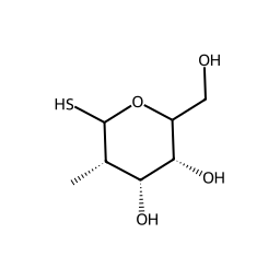 C[C@@H]1C(S)OC(CO)[C@H](O)[C@@H]1O